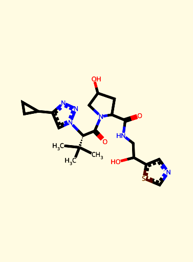 CC(C)(C)[C@@H](C(=O)N1CC(O)CC1C(=O)NCC(O)c1cncs1)n1cc(C2CC2)nn1